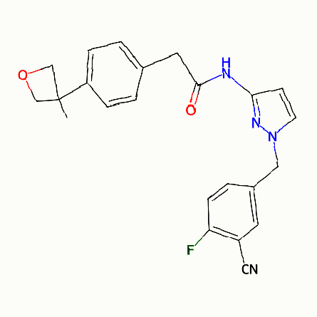 CC1(c2ccc(CC(=O)Nc3ccn(Cc4ccc(F)c(C#N)c4)n3)cc2)COC1